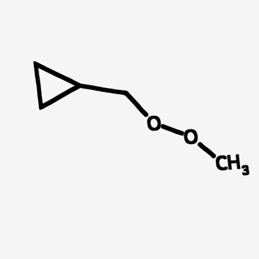 COOCC1CC1